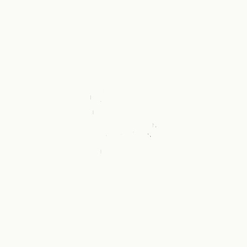 CCS(=O)(=O)c1cc(C(F)(F)F)ccc1-c1cn[nH]c1